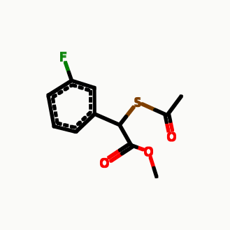 COC(=O)C(SC(C)=O)c1cccc(F)c1